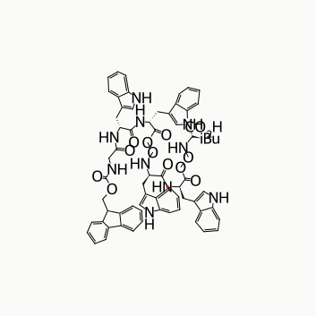 CC[C@H](C)[C@H](NOOC(=O)[C@@H](Cc1c[nH]c2ccccc12)NC(=O)[C@@H](Cc1c[nH]c2ccccc12)NOOC(=O)[C@@H](Cc1c[nH]c2ccccc12)NC(=O)[C@@H](Cc1c[nH]c2ccccc12)NC(=O)CNC(=O)OCC1c2ccccc2-c2ccccc21)C(=O)O